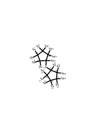 [2H]C1([2H])C([2H])([2H])C([2H])([2H])C([2H])(SC2([2H])C([2H])([2H])C([2H])([2H])C([2H])([2H])C2([2H])[2H])C1([2H])[2H]